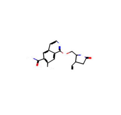 C=CC1CC(=O)NC1COc1nccc2cc(C(N)=O)c(OC)cc12